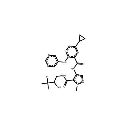 Cn1ncc(NC(=O)c2nc(C3CC3)cnc2Nc2cncnc2)c1C(=O)NCC(O)C(F)(F)F